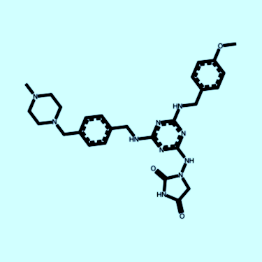 COc1ccc(CNc2nc(NCc3ccc(CN4CCN(C)CC4)cc3)nc(NN3CC(=O)NC3=O)n2)cc1